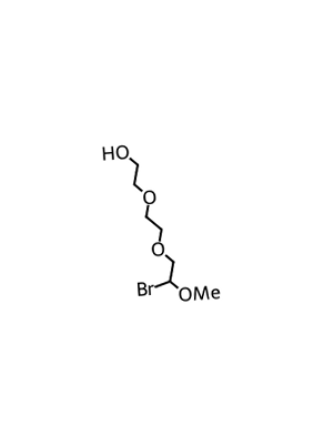 COC(Br)COCCOCCO